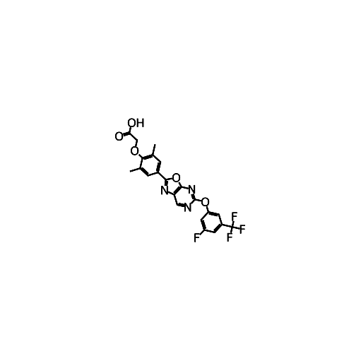 Cc1cc(-c2nc3cnc(Oc4cc(F)cc(C(F)(F)F)c4)nc3o2)cc(C)c1OCC(=O)O